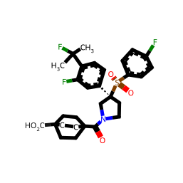 CC(C)(F)c1ccc([C@]2(S(=O)(=O)c3ccc(F)cc3)CCN(C(=O)C34CCC(C(=O)O)(CC3)CC4)C2)cc1F